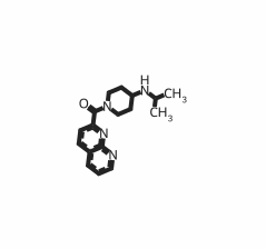 CC(C)NC1CCN(C(=O)c2ccc3cccnc3n2)CC1